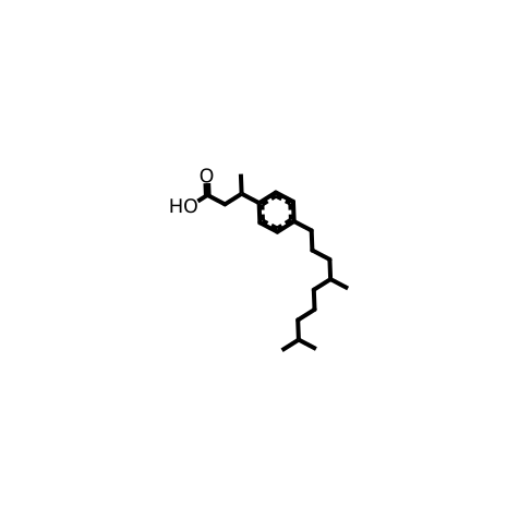 CC(C)CCCC(C)CCCc1ccc(C(C)CC(=O)O)cc1